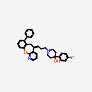 OC1(c2ccc(Cl)cc2)CCN(CC/C=C2/Cc3c(cccc3-c3ccccc3)Oc3ncccc32)CC1